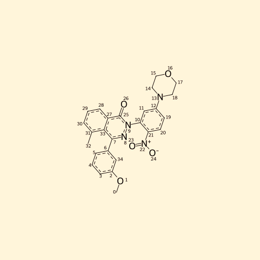 COc1cccc(-c2nn(-c3cc(N4CCOCC4)ccc3[N+](=O)[O-])c(=O)c3cccc(C)c23)c1